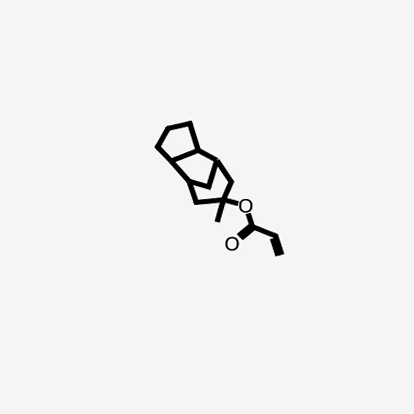 C=CC(=O)OC1(C)CC2CC(C1)C1CCCC21